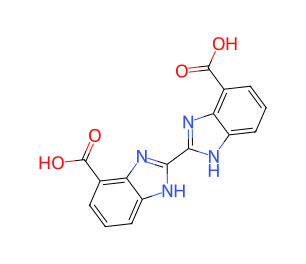 O=C(O)c1cccc2[nH]c(-c3nc4c(C(=O)O)cccc4[nH]3)nc12